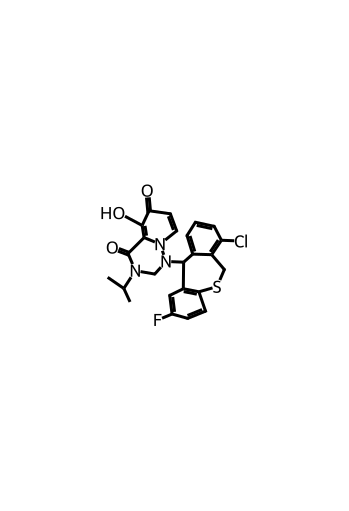 CC(C)N1CN(C2c3cc(F)ccc3SCc3c(Cl)cccc32)n2ccc(=O)c(O)c2C1=O